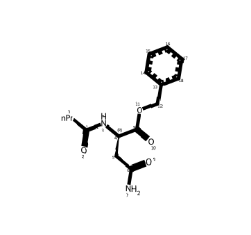 CCCC(=O)N[C@H](CC(N)=O)C(=O)OCc1ccccc1